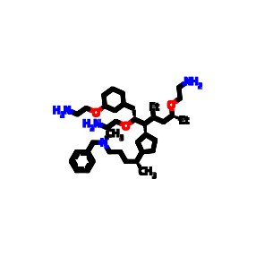 CCC(C[C@@H](CC)OCCN)C([C@@H]1CCC([C@H](C)CCCN(C)Cc2ccccc2)C1)[C@@H](CC1CCC[C@H](OCCN)C1)OCCN